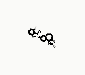 O=C(Nc1ccc2c(c1)CCCc1sc(Br)nc1-2)c1c(F)cccc1F